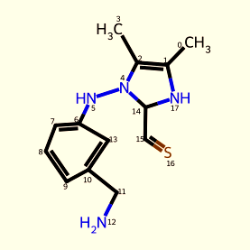 CC1=C(C)N(Nc2cccc(CN)c2)C(C=S)N1